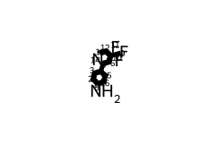 Nc1ccc(-c2cc(C(F)(F)F)ccn2)cc1